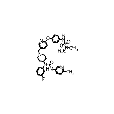 Cc1ccc(NC(=O)N(c2cccc(F)c2)C2CCN(Cc3ccc(Oc4ccc(NS(=O)(=O)N(C)C)cc4)nc3)CC2)cn1